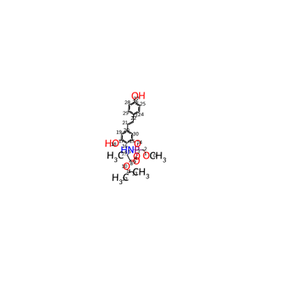 COCP(=O)(N[C@@H](C)C(=O)OC(C)C)Oc1cc(O)cc(/C=C/c2ccc(O)cc2)c1